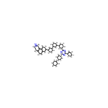 c1ccc(-c2ccc(-c3nc(-c4ccccc4)nc(-c4cccc(-c5cccc(-c6cccc(-c7ccc8c(ccc9ccncc98)c7)c6)c5)c4)n3)cc2)cc1